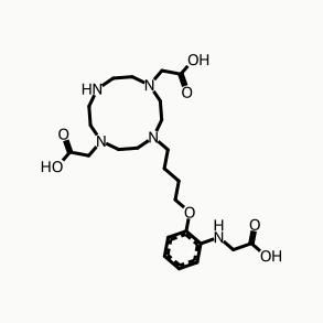 O=C(O)CNc1ccccc1OCCCCN1CCN(CC(=O)O)CCNCCN(CC(=O)O)CC1